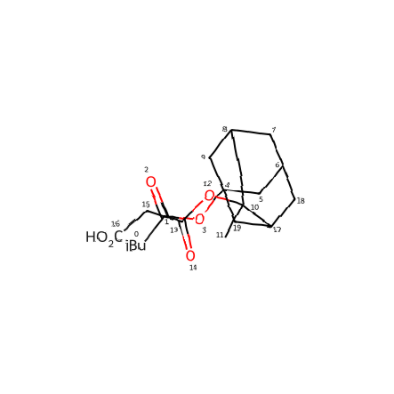 CCC(C)C(=O)OC12CC3CC(C1)C(C)(OC(=O)CC(=O)O)C(C3)C2